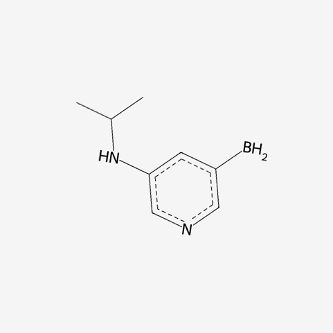 Bc1cncc(NC(C)C)c1